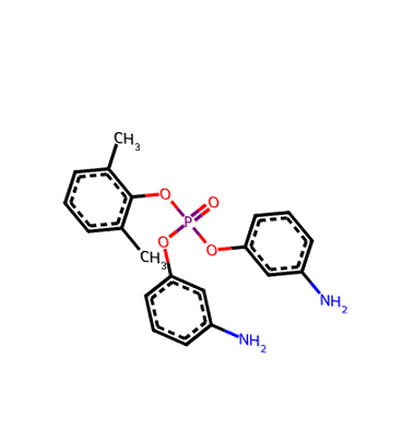 Cc1cccc(C)c1OP(=O)(Oc1cccc(N)c1)Oc1cccc(N)c1